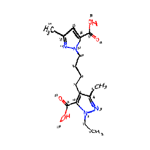 CCn1nc(C)c(CCCCn2nc(C)cc2C(=O)O)c1C(=O)O